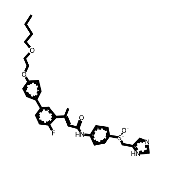 CCCCOCCOc1ccc(-c2ccc(F)c(/C(C)=C/C(=O)Nc3ccc([S@+]([O-])Cc4cnc[nH]4)cc3)c2)cc1